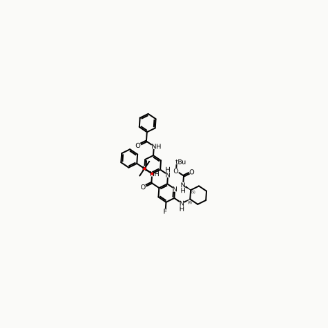 CC(C)(C)OC(=O)N[C@H]1CCCC[C@H]1Nc1nc(Nc2cncc(NC(=O)c3ccccc3)c2)c(C(=O)NC(C)(C)c2ccccc2)cc1F